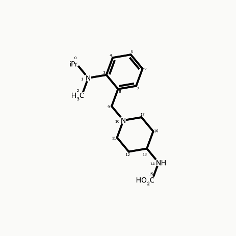 CC(C)N(C)c1ccccc1CN1CCC(NC(=O)O)CC1